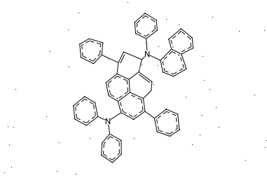 C1=C(c2ccccc2)c2ccc3c(N(c4ccccc4)c4ccccc4)cc(-c4ccccc4)c4c3c2C(=CC4)C1N(c1ccccc1)c1cccc2ccccc12